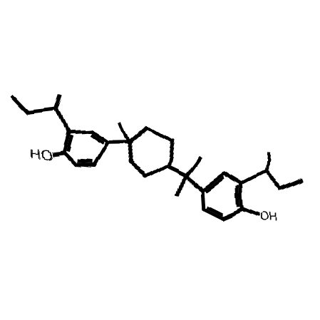 CCC(C)c1cc(C2(C)CCC(C(C)(C)c3ccc(O)c(C(C)CC)c3)CC2)ccc1O